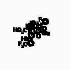 CC(C)(C)N1N=C(C(=O)O)NN1.CCC(C)[C@H](NC(=O)Cc1ccccc1F)C(=O)N[C@@H]1CCc2[nH]c3c(C(F)(F)F)cccc3c2C1